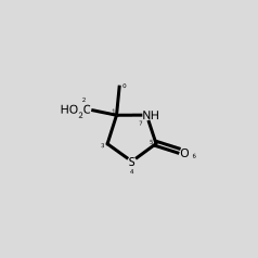 CC1(C(=O)O)CSC(=O)N1